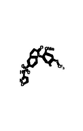 COc1cc(SC(F)(F)F)c(C)cc1-n1c(=O)ccc2cc(S(=O)(=O)Nc3ccon3)ccc21